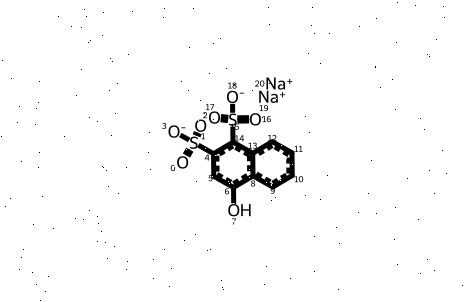 O=S(=O)([O-])c1cc(O)c2ccccc2c1S(=O)(=O)[O-].[Na+].[Na+]